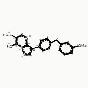 COc1cccc(Cc2ccc(-c3cnn4c(O)c(C(=O)O)cnc34)cc2)c1